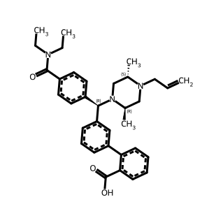 C=CCN1C[C@@H](C)N([C@H](c2ccc(C(=O)N(CC)CC)cc2)c2cccc(-c3ccccc3C(=O)O)c2)C[C@@H]1C